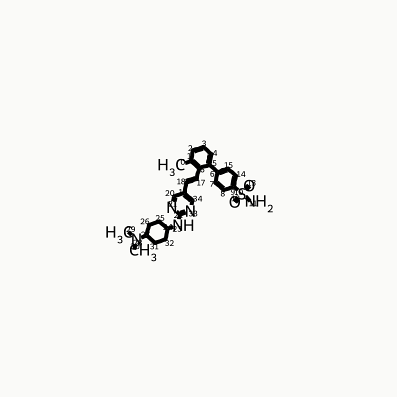 Cc1cccc(-c2ccc(S(N)(=O)=O)cc2)c1/C=C/c1cnc(NC2CCC(N(C)C)CC2)nc1